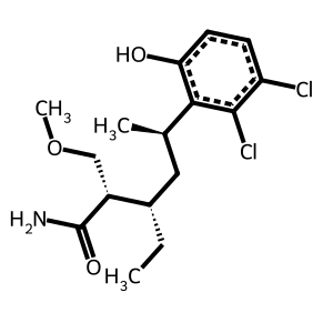 CC[C@@H](C[C@@H](C)c1c(O)ccc(Cl)c1Cl)[C@@H](COC)C(N)=O